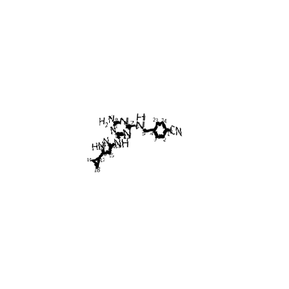 N#Cc1ccc(CNc2nc(N)nc(Nc3cc(C4CC4)[nH]n3)n2)cc1